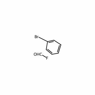 Brc1ccccc1.O=CF